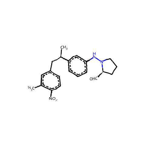 Cc1cc(CC(C)c2cccc(NN3CCC[C@H]3C=O)c2)ccc1[N+](=O)[O-]